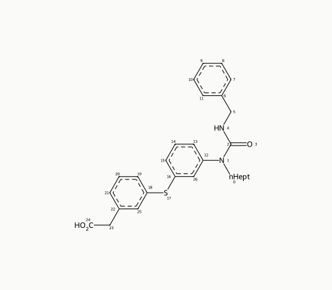 CCCCCCCN(C(=O)NCc1ccccc1)c1cccc(Sc2cccc(CC(=O)O)c2)c1